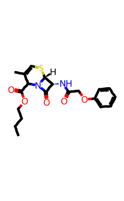 CCCCOC(=O)C1C(C)=CS[C@@H]2[C@H](NC(=O)COc3ccccc3)C(=O)N12